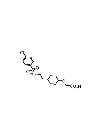 O=C(O)CO[C@H]1CC[C@@H](CCNS(=O)(=O)c2ccc(Cl)cc2)CC1